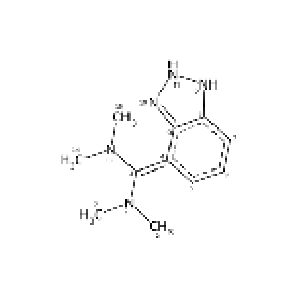 CN(C)C(=c1cccc2c1=NNN2)N(C)C